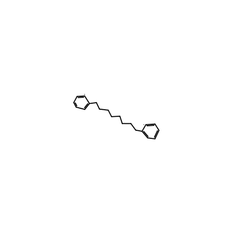 [c]1ccccc1CCCCCCCCc1[c]cccc1